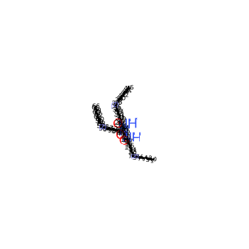 CCCCCCCCC/C=C\CCCCCCCC(=O)NCCN(CCNC(=O)CCCCCCC/C=C\CCCCCCCCC)C(=O)CCCCCCC/C=C\CCCCCCCCC